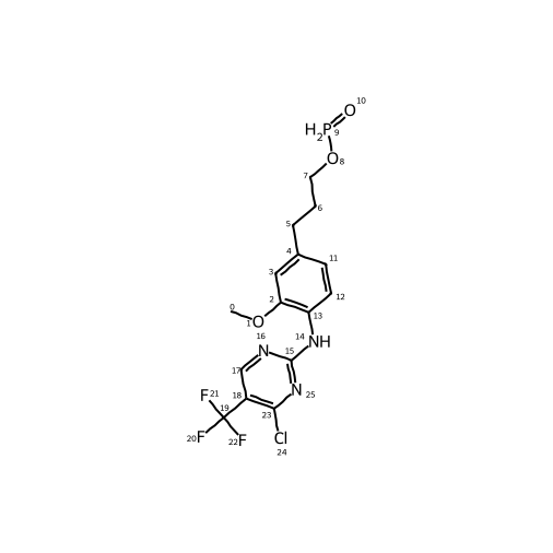 COc1cc(CCCO[PH2]=O)ccc1Nc1ncc(C(F)(F)F)c(Cl)n1